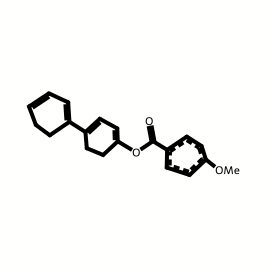 COc1ccc(C(=O)OC2=CC=C(C3=CC=CCC3)CC2)cc1